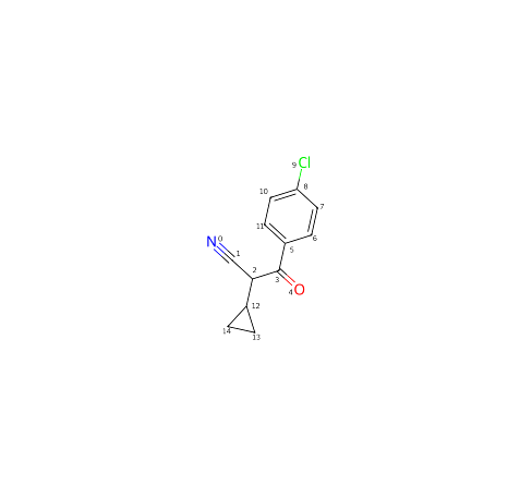 N#CC(C(=O)c1ccc(Cl)cc1)C1CC1